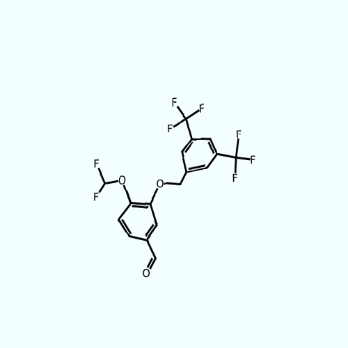 O=Cc1ccc(OC(F)F)c(OCc2cc(C(F)(F)F)cc(C(F)(F)F)c2)c1